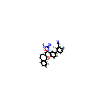 CN1OC2(CC3(CCCc4ccccc4C3)Oc3ccc(-c4ccc(F)c(C#N)c4)cc32)N=C1N